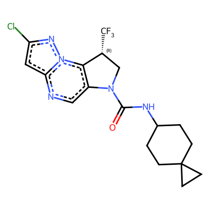 O=C(NC1CCC2(CC1)CC2)N1C[C@@H](C(F)(F)F)c2c1cnc1cc(Cl)nn21